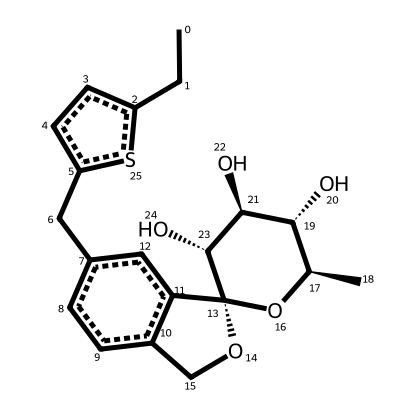 CCc1ccc(Cc2ccc3c(c2)[C@]2(OC3)O[C@H](C)[C@@H](O)[C@H](O)[C@H]2O)s1